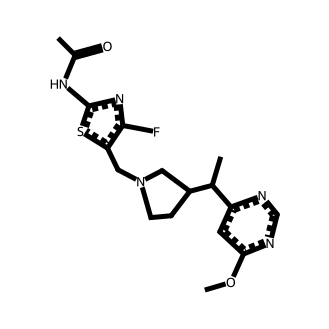 COc1cc(C(C)C2CCN(Cc3sc(NC(C)=O)nc3F)C2)ncn1